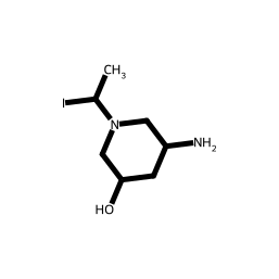 CC(I)N1CC(N)CC(O)C1